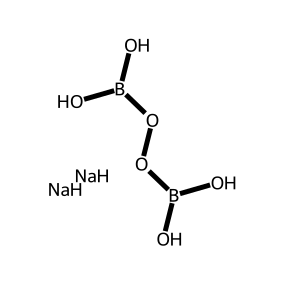 OB(O)OOB(O)O.[NaH].[NaH]